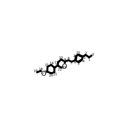 CCCc1ccc(CCC2CCC(C3CCC(OCC)CC3)CO2)cc1